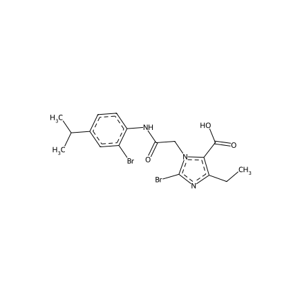 CCc1nc(Br)n(CC(=O)Nc2ccc(C(C)C)cc2Br)c1C(=O)O